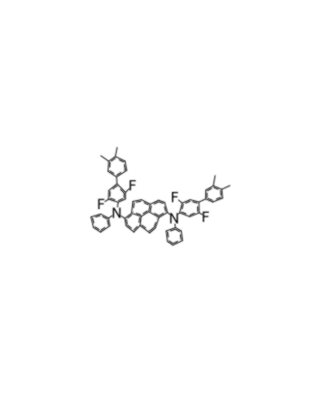 Cc1ccc(-c2cc(F)c(N(c3ccccc3)c3ccc4ccc5c(N(c6ccccc6)c6cc(F)c(-c7ccc(C)c(C)c7)cc6F)ccc6ccc3c4c65)cc2F)cc1C